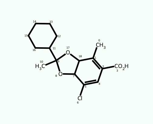 CC1=C(C(=O)O)C=C(Cl)C2OC(C)(C3CCCCC3)OC12